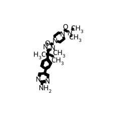 CC(C)C(C)(c1ccc(-c2cnc(N)nc2)cc1)c1noc(N2CCN(C(=O)N(C)C)CC2)n1